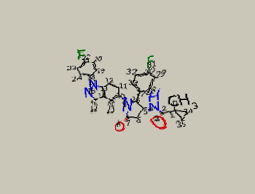 CC1(C(=O)NC2CC(=O)N(c3ccc4c(cnn4-c4ccc(F)cc4)c3)C2c2ccc(F)cc2)CC1